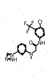 CN(CC(=O)Nc1ccc(Cl)c(C(F)(F)F)c1)c1cccc(-n2cn[nH]2)c1